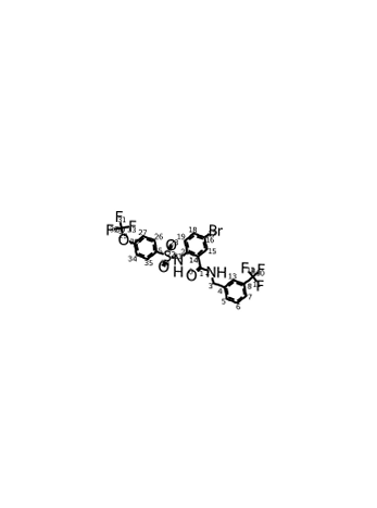 O=C(NCc1cccc(C(F)(F)F)c1)c1cc(Br)ccc1NS(=O)(=O)c1ccc(OC(F)(F)F)cc1